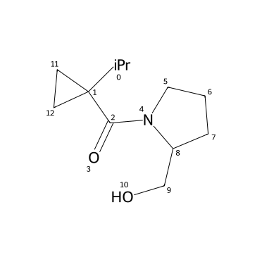 CC(C)C1(C(=O)N2CCCC2CO)CC1